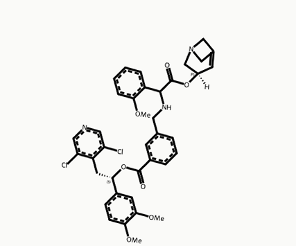 COc1ccc([C@H](Cc2c(Cl)cncc2Cl)OC(=O)c2cccc(CNC(C(=O)O[C@@H]3C=C4CN(C4)C3)c3ccccc3OC)c2)cc1OC